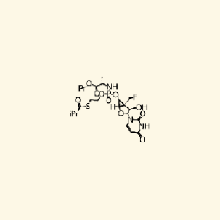 CC(C)OC(=O)[C@H](C)N[P@@](=O)(OCCSC(=O)C(C)C)OC1[C@H]2O[C@@H](n3ccc(=O)[nH]c3=O)[C@H](O)[C@@]12CF